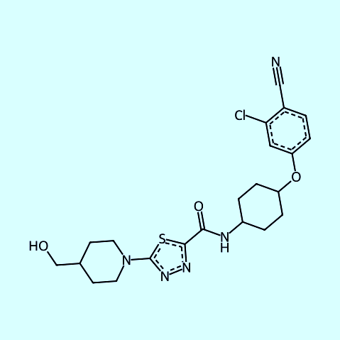 N#Cc1ccc(OC2CCC(NC(=O)c3nnc(N4CCC(CO)CC4)s3)CC2)cc1Cl